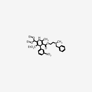 CCOC(=O)C1=C(C(OCC)OCC)NC(C)=C(C(=O)OCCN(C)Cc2ccccc2)C1c1cccc([N+](=O)[O-])c1